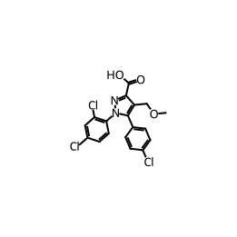 COCc1c(C(=O)O)nn(-c2ccc(Cl)cc2Cl)c1-c1ccc(Cl)cc1